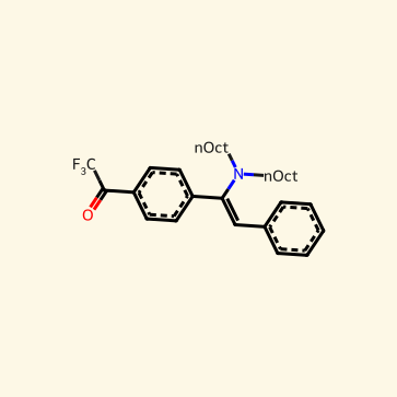 CCCCCCCCN(CCCCCCCC)C(=Cc1ccccc1)c1ccc(C(=O)C(F)(F)F)cc1